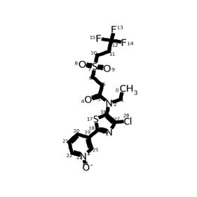 CCN(C(=O)CCS(=O)(=O)CCC(F)(F)F)c1sc(-c2ccc[n+]([O-])c2)nc1Cl